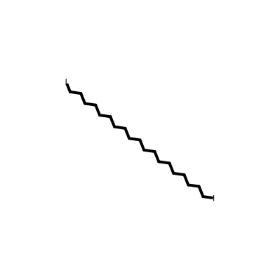 ICCCCCCCCCCCCCCCCCCCI